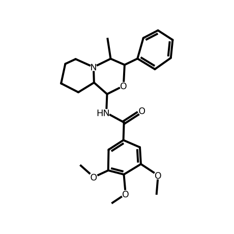 COc1cc(C(=O)NC2OC(c3ccccc3)C(C)N3CCCCC23)cc(OC)c1OC